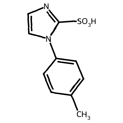 Cc1ccc(-n2ccnc2S(=O)(=O)O)cc1